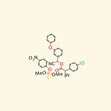 CC(C)C(C(=O)OC(C#N)c1cccc(Oc2ccccc2)c1)c1ccc(Cl)cc1.COP(=S)(OC)Oc1ccc([N+](=O)[O-])cc1